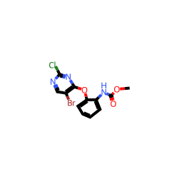 COC(=O)Nc1ccccc1Oc1nc(Cl)ncc1Br